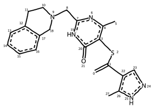 C=C(Sc1c(C)nc(CN2CCc3ccccc3C2)[nH]c1=O)c1cn[nH]c1C